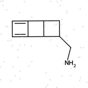 NCC1CC2C3=CC=C3C12